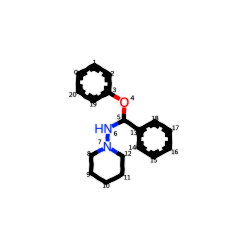 c1ccc(OC(NN2CCCCC2)c2ccccc2)cc1